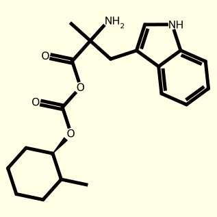 CC1CCCC[C@H]1OC(=O)OC(=O)C(C)(N)Cc1c[nH]c2ccccc12